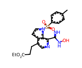 CCOC(=O)CCc1cnc(C(=N)NO)c2c1ccn2S(=O)(=O)c1ccc(C)cc1